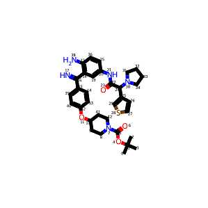 CC(C)(C)OC(=O)N1CCC(Oc2ccc(C(=N)c3cc(NC(=O)C(c4ccsc4)N4CCCC4)ccc3N)cc2)CC1